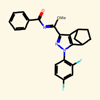 COC(=NC(=O)c1ccccc1)c1nn(-c2ccc(F)cc2F)c2c1C1CCC2C1